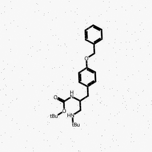 CC(C)(C)NCC(Cc1ccc(OCc2ccccc2)cc1)NC(=O)OC(C)(C)C